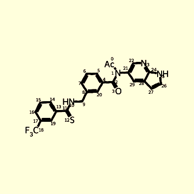 CC(=O)N(C(=O)c1cccc(CNC(=S)c2cccc(C(F)(F)F)c2)c1)c1cnc2[nH]ccc2c1